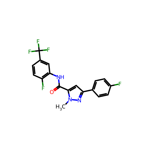 Cn1nc(-c2ccc(F)cc2)cc1C(=O)Nc1cc(C(F)(F)F)ccc1F